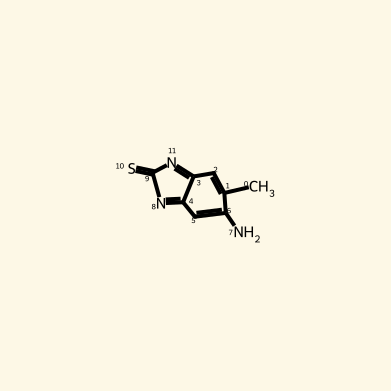 Cc1cc2c(cc1N)=NC(=S)N=2